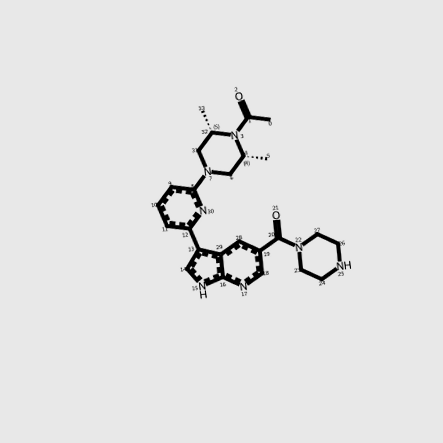 CC(=O)N1[C@H](C)CN(c2cccc(-c3c[nH]c4ncc(C(=O)N5CCNCC5)cc34)n2)C[C@@H]1C